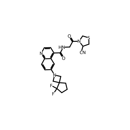 N#CC1CSCN1C(=O)CNC(=O)c1ccnc2ccc(N3CC4(CCCC4(F)F)C3)cc12